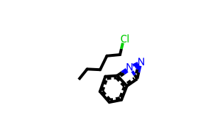 CCCCCCl.c1ccc2c(c1)c1nn2-1